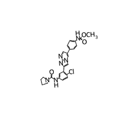 COC(=O)Nc1ccc(-c2cnc3nc(-c4cc(NC(=O)N5CCCC5)ccc4Cl)cn3c2)cc1